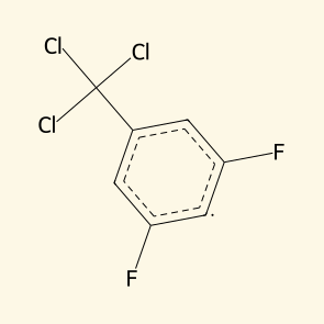 Fc1[c]c(F)cc(C(Cl)(Cl)Cl)c1